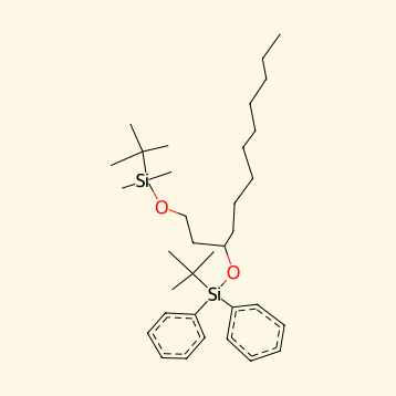 CCCCCCCCCC(CCO[Si](C)(C)C(C)(C)C)O[Si](c1ccccc1)(c1ccccc1)C(C)(C)C